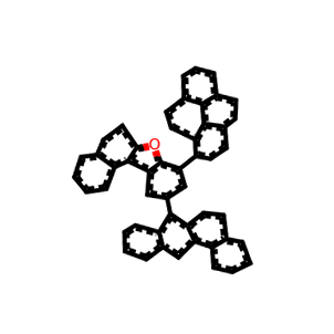 c1ccc2c(-c3cc(-c4ccc5ccc6cccc7ccc4c5c67)c4oc5ccc6ccccc6c5c4c3)c3ccc4ccccc4c3cc2c1